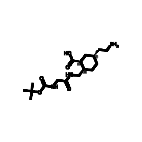 BCC[C@@H]1CC[C@@H](CNC(=O)CNC(=O)OC(C)(C)C)[C@@H](C(=O)O)C1